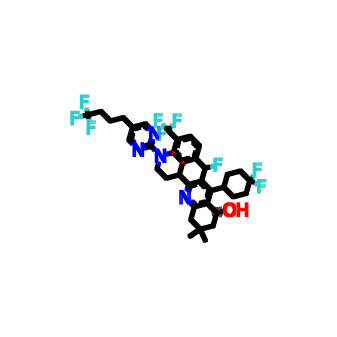 CC1(C)Cc2nc(C3CCN(c4ncc(CCCC(F)(F)F)cn4)CC3)c(C(F)c3ccc(C(F)(F)F)cc3)c(C3CCC(F)(F)CC3)c2[C@@H](O)C1